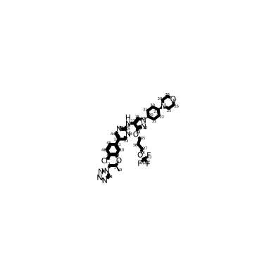 C[C@@H](Cn1cnnn1)Oc1cc(-c2cnc(Nc3cn([C@H]4CC[C@H](N5CCOCC5)CC4)nc3OCCCOC(F)(F)F)nc2)ccc1Cl